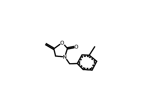 C=C1CN(Cc2cccc(C)c2)C(=O)O1